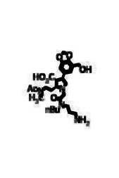 CCCCN(CCCN)C(=O)CN1C[C@H](c2cc(CO)c3c(c2)OCO3)[C@@H](C(=O)O)[C@@H]1CCN(C)C(C)=O